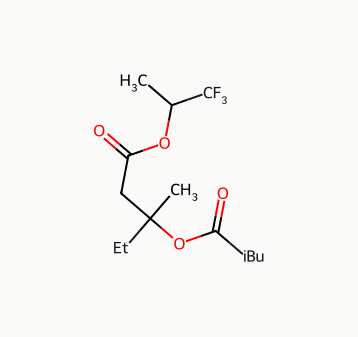 CCC(C)C(=O)OC(C)(CC)CC(=O)OC(C)C(F)(F)F